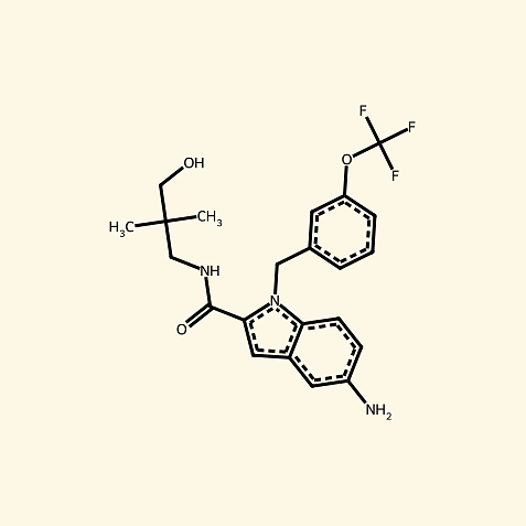 CC(C)(CO)CNC(=O)c1cc2cc(N)ccc2n1Cc1cccc(OC(F)(F)F)c1